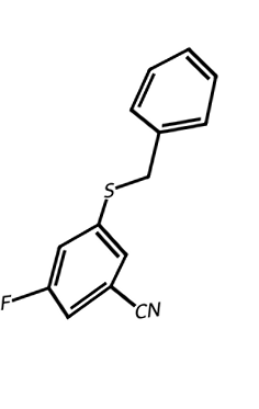 N#Cc1cc(F)cc(SCc2ccccc2)c1